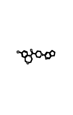 O=C(C1CCN(c2cc3c(cn2)CCC3)CC1)N1CCOCc2cc(Cl)ccc21